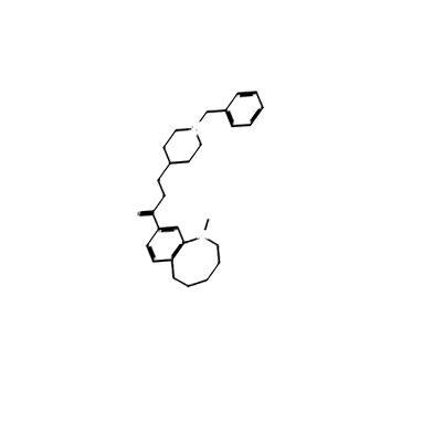 CN1CCCCCc2ccc(C(=O)CCC3CCN(Cc4ccccc4)CC3)cc21